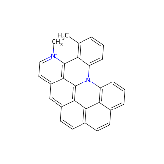 Cc1cccc2c1-c1c3c4c5c(ccc6ccc7cccc(c7c65)N24)cc3cc[n+]1C